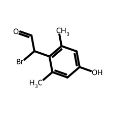 Cc1cc(O)cc(C)c1C(Br)C=O